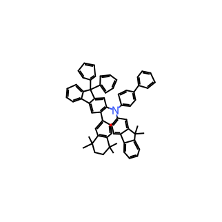 Cc1cc2c(cc1-c1cc3c(cc1N(c1ccc(-c4ccccc4)cc1)c1ccc4c(c1)C(C)(C)c1ccccc1-4)C(c1ccccc1)(c1ccccc1)c1ccccc1-3)C(C)(C)CCC2(C)C